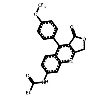 CCC(=O)Nc1ccc2c(-c3ccc(OC(F)(F)F)cc3)c3c(nc2c1)COC3=O